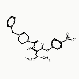 CC(C)C(NC(=O)N1CCN(Cc2ccccc2)CC1)C(=O)Oc1ccc([N+](=O)[O-])cc1